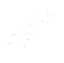 CCCCOC(OCCCC)[C@H](C)NP1(=O)OC[C@H]2O[C@@H](n3cc(F)c(=O)[nH]c3=O)C[C@@H]2O1